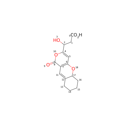 O=C(O)CC(O)c1cc2c(c(=O)o1)C=C1CCCCC1O2